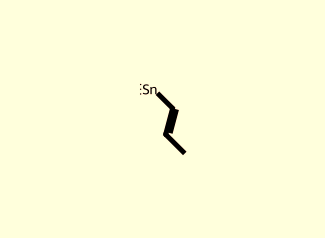 CC=[CH][Sn]